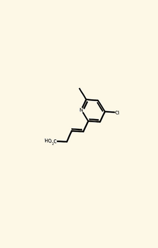 Cc1cc(Cl)cc(C=CCC(=O)O)n1